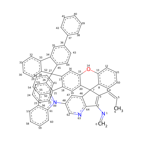 C=NC1=C(/C=C\C)C2(c3ccccc3Oc3cc4c(cc32)-c2ccccc2C42c3ccccc3-c3cc(-c4ccccc4)ccc32)c2cc(-n3c4ccccc4c4ccccc43)cnc21